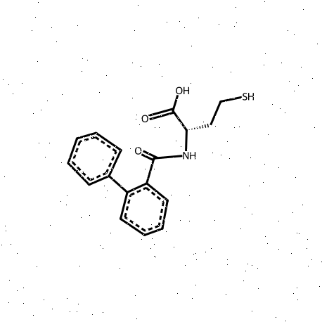 O=C(N[C@@H](CCS)C(=O)O)c1ccccc1-c1ccccc1